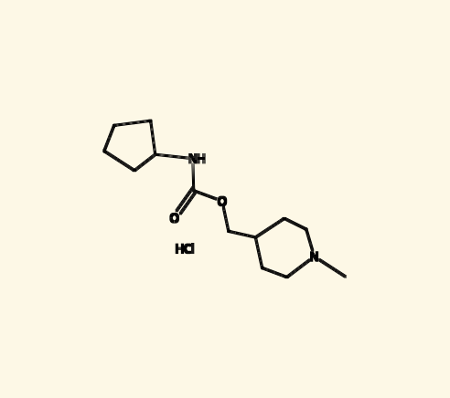 CN1CCC(COC(=O)NC2CCCC2)CC1.Cl